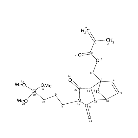 C=C(C)C(=O)OCC12C=CC(O1)C1C(=O)N(CCC[Si](OC)(OC)OC)C(=O)C12